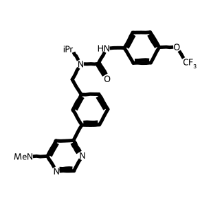 CNc1cc(-c2cccc(CN(C(=O)Nc3ccc(OC(F)(F)F)cc3)C(C)C)c2)ncn1